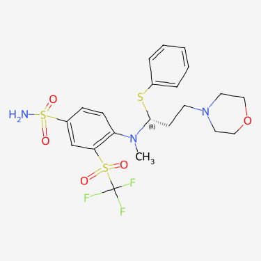 CN(c1ccc(S(N)(=O)=O)cc1S(=O)(=O)C(F)(F)F)[C@@H](CCN1CCOCC1)Sc1ccccc1